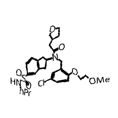 CCCNS(=O)(=O)c1ccc2c(c1)CC(N(Cc1cc(Cl)ccc1OCCOC)C(=O)CC1CCOC1)C2